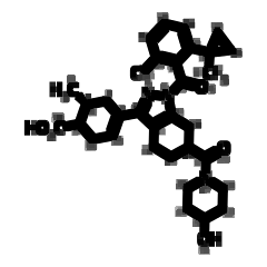 C[C@H]1CC(c2nn(C(=O)c3c(Cl)cccc3C3(C(F)(F)F)CC3)c3c2CCC(C(=O)N2CCC(O)CC2)C3)=CCC1C(=O)O